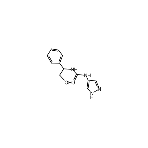 O=C(Nc1cn[nH]c1)NC(CO)c1ccccc1